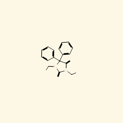 O=C1N(CO)C(=O)C(c2ccccc2)(c2ccccc2)N1CO